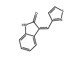 O=C1Nc2ccccc2/C1=C/c1ccsn1